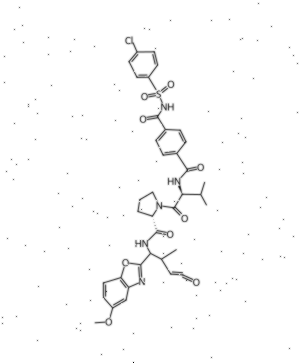 COc1ccc2oc(C(NC(=O)[C@@H]3CCCN3C(=O)[C@@H](NC(=O)c3ccc(C(=O)NS(=O)(=O)c4ccc(Cl)cc4)cc3)C(C)C)C(C)C=C=O)nc2c1